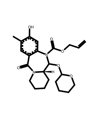 C=CCOC(=O)N1c2cc(O)c(C)cc2C(=O)N2CCCC[C@H]2C1OC1CCCCO1